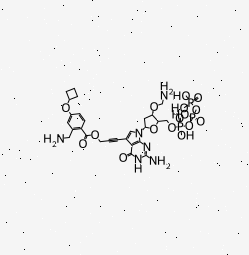 NCO[C@@H]1C[C@H](n2cc(C#CCOC(=O)c3ccc(OC4CCC4)cc3CN)c3c(=O)[nH]c(N)nc32)OC1COP(=O)(O)OP(=O)(O)OP(=O)(O)O